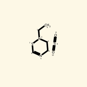 CCN1CCN=CS1.[O]=[Ti]=[O]